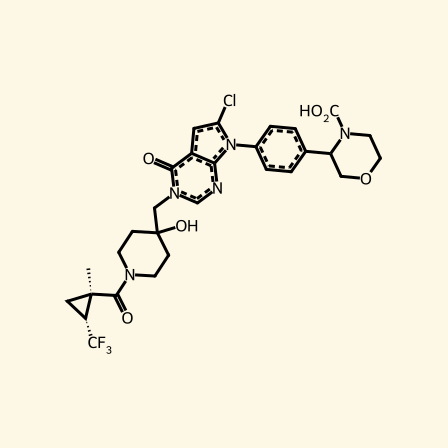 C[C@@]1(C(=O)N2CCC(O)(Cn3cnc4c(cc(Cl)n4-c4ccc(C5COCCN5C(=O)O)cc4)c3=O)CC2)C[C@H]1C(F)(F)F